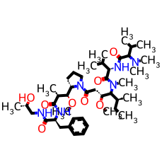 CC[C@H](C)C([C@@H](CC(=O)N1CCC[C@H]1[C@H](OC)[C@@H](C)C(=O)N[C@@H](Cc1ccccc1)C(=O)NC[C@H](C)O)OC)N(C)C(=O)[C@@H](NC(=O)C(C(C)C)N(C)C)C(C)C